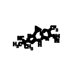 CCNc1nc(Nc2cn(C(C)(C)C#N)nc2C2CC2)ncc1C(F)(F)F